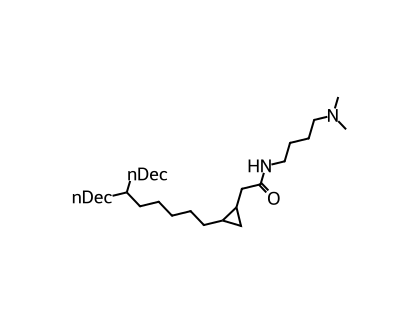 CCCCCCCCCCC(CCCCCCCCCC)CCCCCC1CC1CC(=O)NCCCCN(C)C